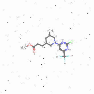 COC(=O)CCC1CC(C)CN(c2cc(C(F)(F)F)nc(Cl)n2)C1